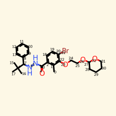 Cc1c(C(=O)NNC(c2ccccc2)C(C)(C)C)ccc(Br)c1OCCOC1CCCCO1